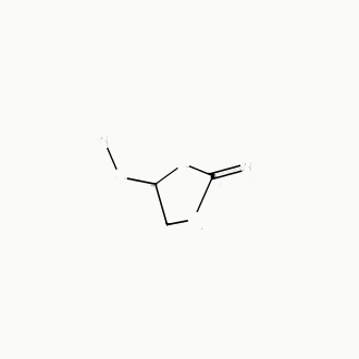 [N]OC1CSC(=N)S1